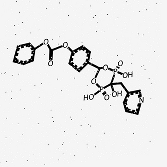 O=C(Oc1ccccc1)Oc1ccc(C2OP(=O)(O)C(O)(Cc3cccnc3)P(=O)(O)O2)cc1